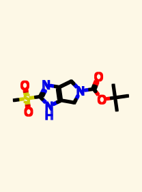 CC(C)(C)OC(=O)N1Cc2nc(S(C)(=O)=O)[nH]c2C1